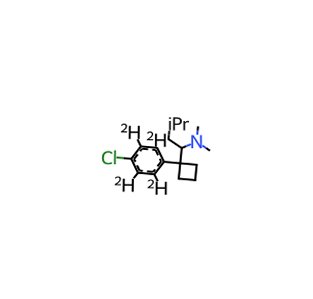 [2H]c1c([2H])c(C2(C(CC(C)C)N(C)C)CCC2)c([2H])c([2H])c1Cl